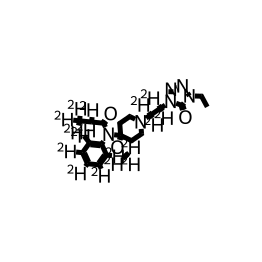 [2H]c1c([2H])c([2H])c(N(C(=O)C([2H])([2H])C([2H])([2H])[2H])C2(OC([2H])([2H])[2H])CCN(C([2H])([2H])C([2H])([2H])n3nnn(CC)c3=O)CC2)c([2H])c1[2H]